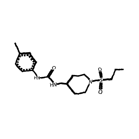 CCCS(=O)(=O)N1CCC(NC(=O)Nc2ccc(C)cc2)CC1